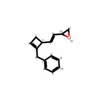 C(=CC1CC=C1Cc1ccccc1)C1CO1